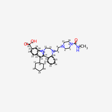 CNC(=O)N1CCN(CCN2CCn3c(c(C4CCCCC4)c4ccc(C(=O)O)cc43)-c3ccccc32)CC1